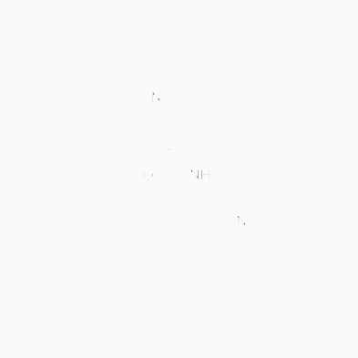 O=S(=O)(Nc1cccc2cccnc12)c1ncccc1F